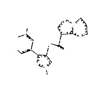 C/C=C(\C=C(\F)CC)c1nn(C)cc1NC(=O)c1cnn2cccnc12